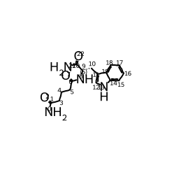 NC(=O)CCCC(=O)N[C@@H](Cc1c[nH]c2ccccc12)C(N)=O